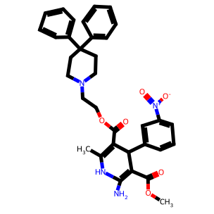 COC(=O)C1=C(N)NC(C)=C(C(=O)OCCN2CCC(c3ccccc3)(c3ccccc3)CC2)C1c1cccc([N+](=O)[O-])c1